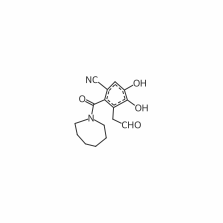 N#Cc1cc(O)c(O)c(CC=O)c1C(=O)N1CCCCCC1